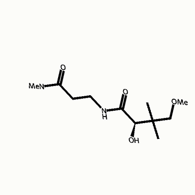 CNC(=O)CCNC(=O)[C@H](O)C(C)(C)COC